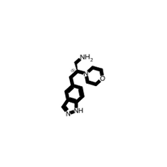 NC[C@H](Cc1ccc2[nH]ncc2c1)N1CCOCC1